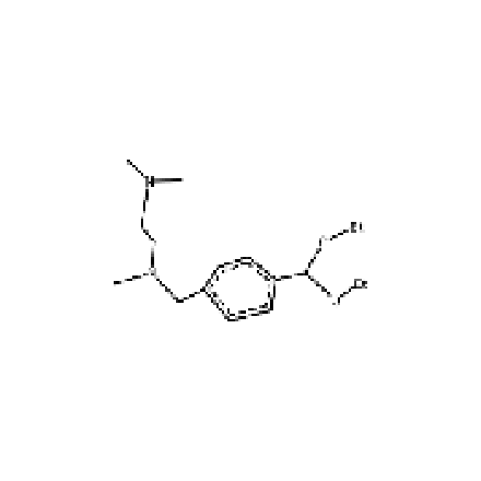 CCOC(OCC)c1ccc(CN(C)CCN(C)C)cc1